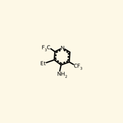 CCc1c(C(F)(F)F)ncc(C(F)(F)F)c1N